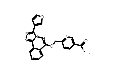 NC(=O)c1ccc(COc2nn3c(-c4ccoc4)nnc3c3ccccc23)nc1